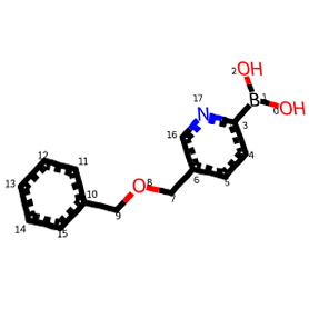 OB(O)c1ccc(COCc2ccccc2)cn1